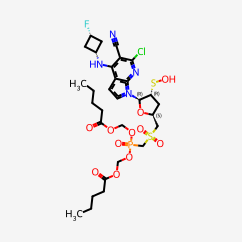 CCCCC(=O)OCOP(=O)(CS(=O)(=O)C[C@@H]1C[C@@H](SO)[C@H](n2ccc3c(N[C@H]4C[C@@H](F)C4)c(C#N)c(Cl)nc32)O1)OCOC(=O)CCCC